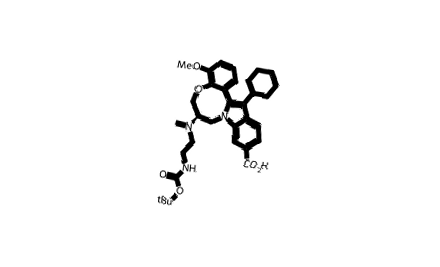 COc1cccc2c1OC[C@H](N(C)CCNC(=O)OC(C)(C)C)Cn1c-2c(C2CCCCC2)c2ccc(C(=O)O)cc21